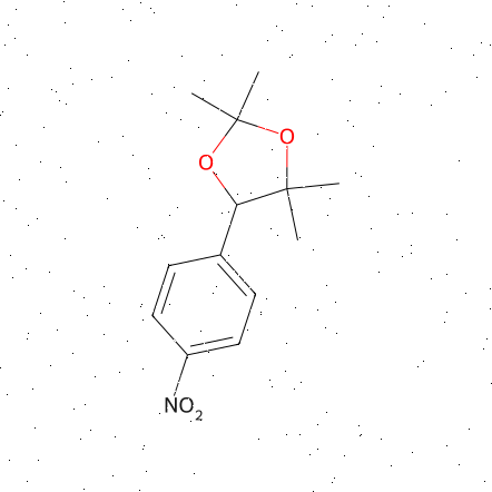 CC1(C)OC(c2ccc([N+](=O)[O-])cc2)C(C)(C)O1